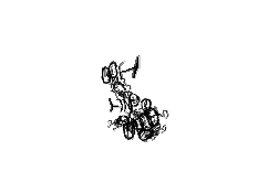 CCOC(=O)C1C2C(NC(=O)c3ccc(C(=O)O)cc3)CC(NC(=O)OC(C)(C)C)(C(=O)OCC)C12